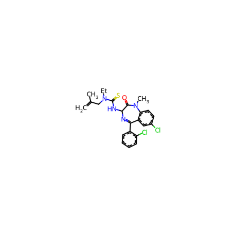 C=C(C)CN(CC)C(=S)NC1N=C(c2ccccc2Cl)c2cc(Cl)ccc2N(C)C1=O